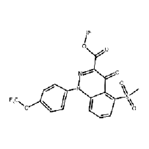 CC(C)OC(=O)c1nn(-c2ccc(OC(F)(F)F)cc2)c2cccc(S(C)(=O)=O)c2c1=O